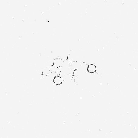 CC(C)(N)C(=O)NC(COCc1ccc(Cl)cc1)C(=O)N1CCC2=NN(CC(F)(F)F)C(=O)C2(Cc2ccccn2)C1